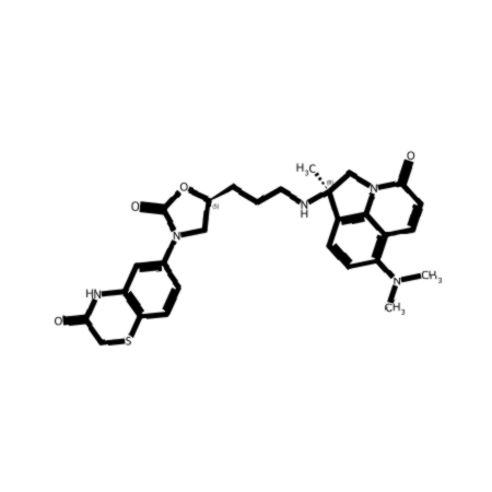 CN(C)c1ccc2c3c1ccc(=O)n3C[C@]2(C)NCCC[C@H]1CN(c2ccc3c(c2)NC(=O)CS3)C(=O)O1